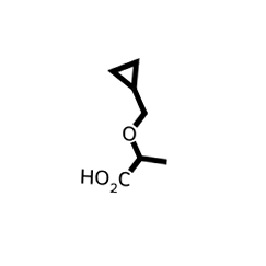 CC(OCC1CC1)C(=O)O